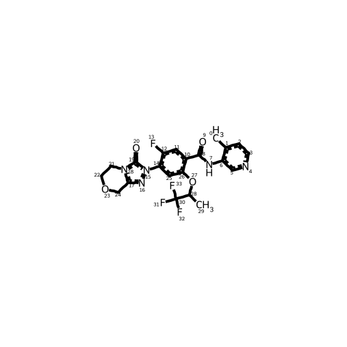 Cc1ccncc1NC(=O)c1cc(F)c(-n2nc3n(c2=O)CCOC3)cc1OC(C)C(F)(F)F